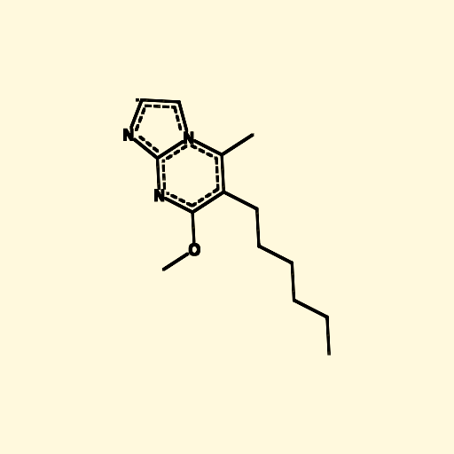 CCCCCCc1c(OC)nc2n[c]cn2c1C